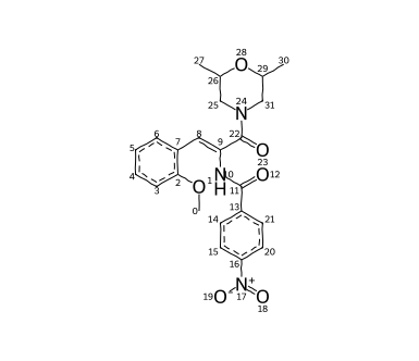 COc1ccccc1C=C(NC(=O)c1ccc([N+](=O)[O-])cc1)C(=O)N1CC(C)OC(C)C1